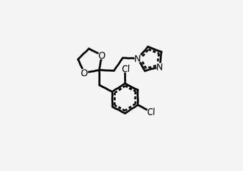 Clc1ccc(CC2(CCn3ccnc3)OCCO2)c(Cl)c1